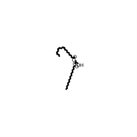 CC/C=C\C/C=C\C/C=C\CCCCCCCC(=O)OCC(CO)OC(=O)CCCCCCCCCCCCCCC